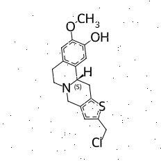 COc1cc2c(cc1O)[C@@H]1Cc3sc(CCl)cc3CN1CC2